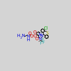 C[C@@H](N1CN([C@@H]2c3ccccc3SCc3c(Cl)cccc32)n2ccc(=O)c(OCOC(=O)NCCN)c2C1=O)C(F)(F)F